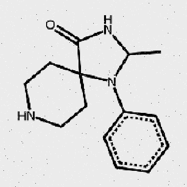 CC1NC(=O)C2(CCNCC2)N1c1ccccc1